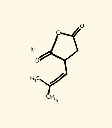 CC(C)=CC1CC(=O)OC1=O.[K]